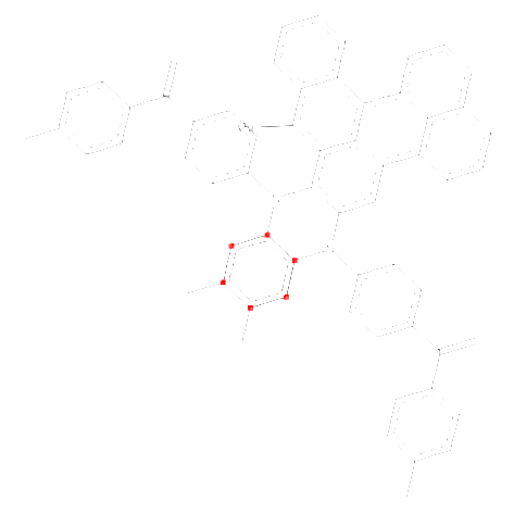 C=C(c1ccc(C)cc1)c1ccc(N(c2ccc(C)cc2)c2cc3c4cccc5cccc(c54)c4c5ccccc5c(C(C)(C)C)c(c2N(c2ccc(C)cc2)c2ccc(C(=C)c5ccc(C)cc5)cc2)c34)cc1